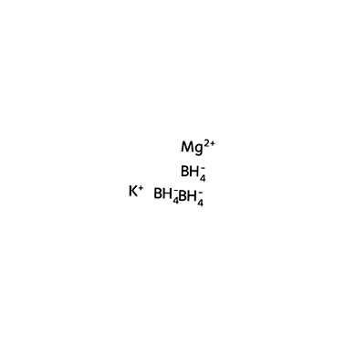 [BH4-].[BH4-].[BH4-].[K+].[Mg+2]